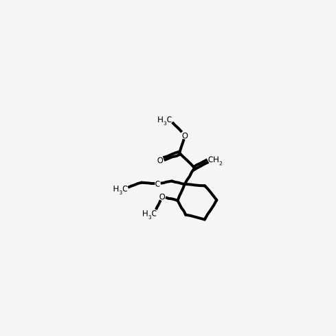 C=C(C(=O)OC)C1(CCCC)CCCCC1OC